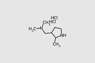 CC1NCCC1CN(C)C.Cl.Cl